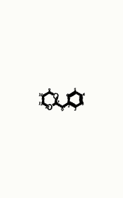 [CH](c1ccccc1)C1OCCCO1